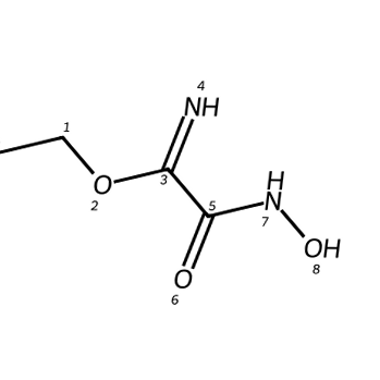 CCOC(=N)C(=O)NO